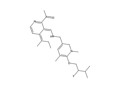 CC/C(C)=c1/ccnc(C(C)=O)/c1=C/NCC1=CC(C)=C(OCC(F)C(C)C)N(C)C1